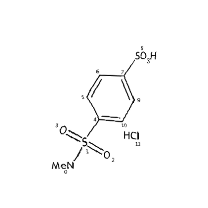 CNS(=O)(=O)c1ccc(S(=O)(=O)O)cc1.Cl